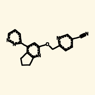 N#Cc1ccc(COc2cc(-c3cccnn3)c3c(n2)CCC3)nc1